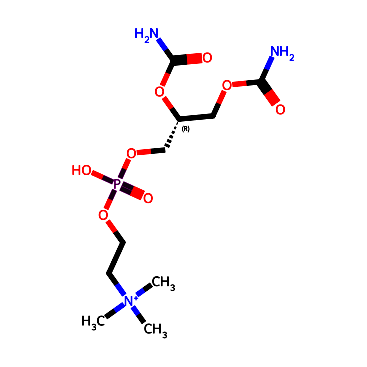 C[N+](C)(C)CCOP(=O)(O)OC[C@@H](COC(N)=O)OC(N)=O